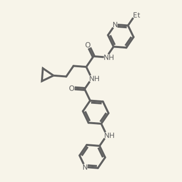 CCc1ccc(NC(=O)C(CCC2CC2)NC(=O)c2ccc(Nc3ccncc3)cc2)cn1